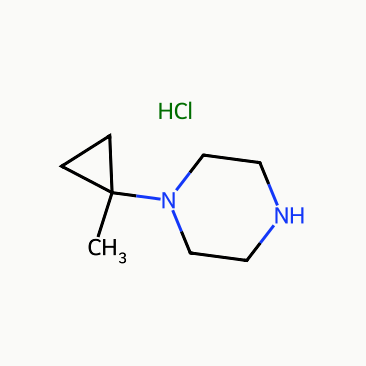 CC1(N2CCNCC2)CC1.Cl